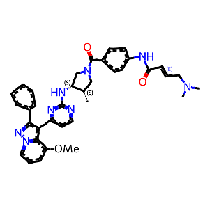 COc1cccn2nc(-c3ccccc3)c(-c3ccnc(N[C@@H]4CN(C(=O)c5ccc(NC(=O)/C=C/CN(C)C)cc5)C[C@@H]4C)n3)c12